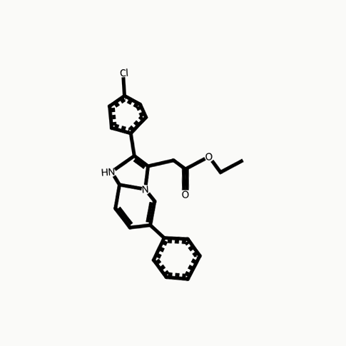 CCOC(=O)CC1=C(c2ccc(Cl)cc2)NC2C=CC(c3ccccc3)=CN12